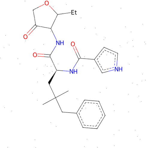 CCC1OCC(=O)C1NC(=O)[C@H](CC(C)(C)Cc1ccccc1)NC(=O)c1cc[nH]c1